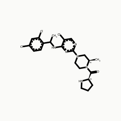 CC(Nc1nc(N2CCN(C(=O)[C@H]3CCCN3)[C@H](C)C2)ncc1Cl)c1ccc(Cl)cc1Cl